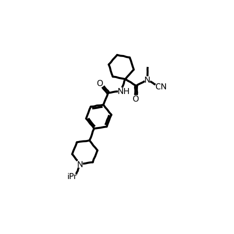 CC(C)N1CCC(c2ccc(C(=O)NC3(C(=O)N(C)C#N)CCCCC3)cc2)CC1